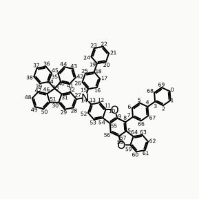 c1ccc(-c2ccc(-c3c4oc5cc(N(c6ccc(-c7ccccc7)cc6)c6ccc7c(c6)C(c6ccccc6)(c6ccccc6)c6ccccc6-7)ccc5c4cc4oc5ccccc5c34)cc2)cc1